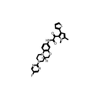 Cc1cc(-c2cccs2)c(C(=O)C(=O)Nc2ccc3c(c2)OC[C@@H]2CN(c4ncc(F)cn4)CCN32)n1C